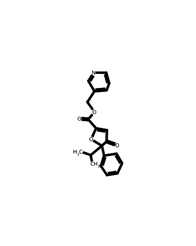 CC(C)C1(c2ccccc2)OC(C(=O)OCc2cccnc2)=CC1=O